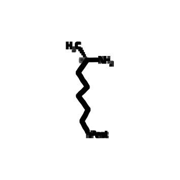 CCCCCCCCCC[C@H](C)N